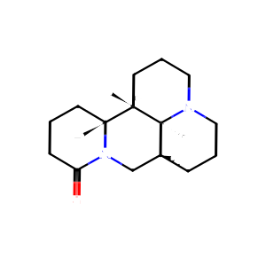 O=C1CCC[C@@H]2[C@@H]3CCCN4CCC[C@H](CN12)[C@@H]34